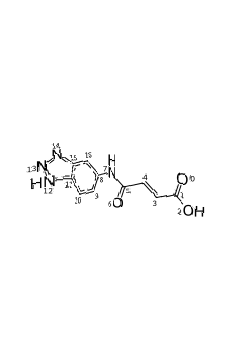 O=C(O)/C=C/C(=O)Nc1ccc2[nH]nnc2c1